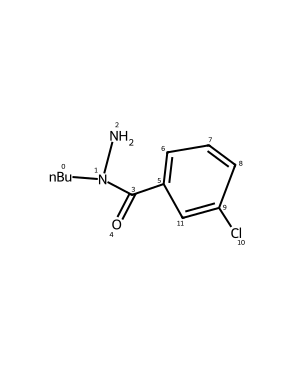 CCCCN(N)C(=O)c1cccc(Cl)c1